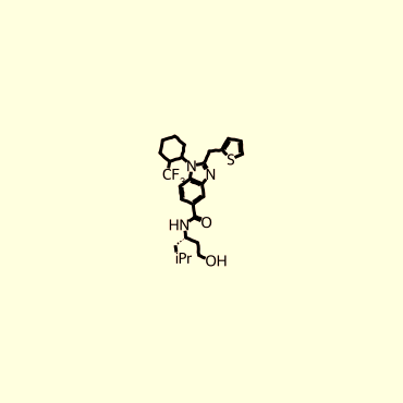 CC(C)C[C@@H](CCO)NC(=O)c1ccc2c(c1)nc(Cc1cccs1)n2C1CCCCC1C(F)(F)F